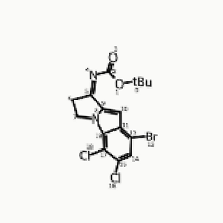 CC(C)(C)OC(=O)N=C1CCn2c1cc1c(Br)cc(Cl)c(Cl)c12